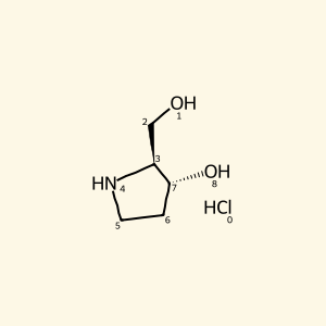 Cl.OC[C@@H]1NCC[C@H]1O